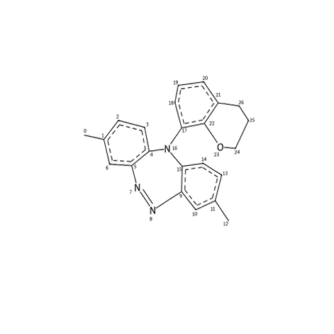 Cc1ccc2c(c1)N=Nc1cc(C)ccc1N2c1cccc2c1OCCC2